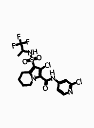 CC(NS(=O)(=O)c1c(Cl)c(C(=O)Nc2ccnc(Cl)c2)n2c1CCCC2)C(F)(F)F